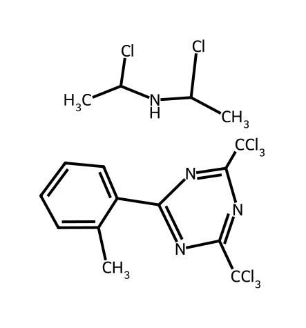 CC(Cl)NC(C)Cl.Cc1ccccc1-c1nc(C(Cl)(Cl)Cl)nc(C(Cl)(Cl)Cl)n1